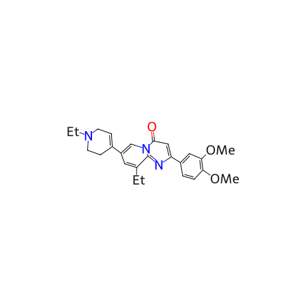 CCc1cc(C2=CCN(CC)CC2)cn2c(=O)cc(-c3ccc(OC)c(OC)c3)nc12